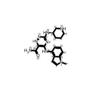 Cn1ccc2c(Nc3nc(N[C@@H]4CCCNC4)nnc3C(N)=O)cccc21